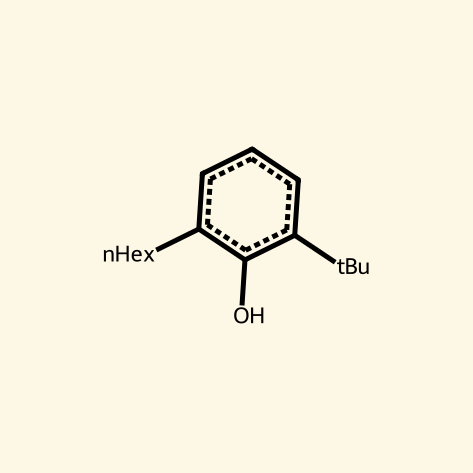 CCCCCCc1cccc(C(C)(C)C)c1O